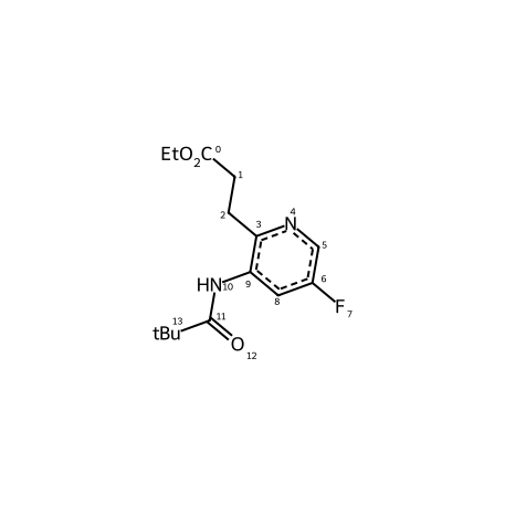 CCOC(=O)CCc1ncc(F)cc1NC(=O)C(C)(C)C